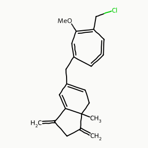 C=C1CC(=C)C2(C)CC=C(CC3=CC(OC)=C(CCl)C=C=C3)C=C12